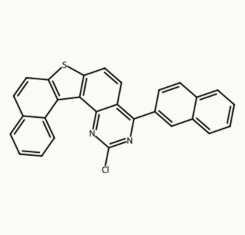 Clc1nc(-c2ccc3ccccc3c2)c2ccc3sc4ccc5ccccc5c4c3c2n1